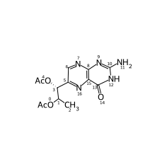 CC(=O)OC(C)[C@H](OC(C)=O)c1cnc2nc(N)[nH]c(=O)c2n1